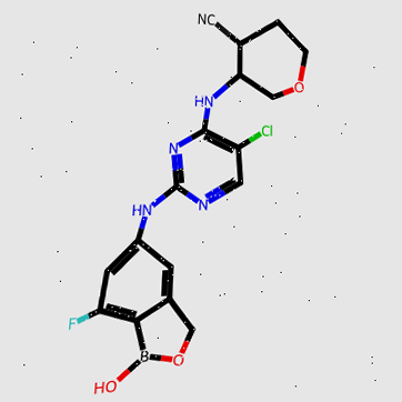 N#CC1CCOCC1Nc1nc(Nc2cc(F)c3c(c2)COB3O)ncc1Cl